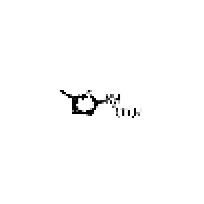 Cc1ccc(NC(=O)O)s1